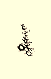 C[C@](C(=O)O[C@H]1C[N+]2(CC(=O)Nc3ccon3)CCC1CC2)(c1ccccc1)N1CCCCC1